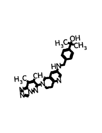 Cc1c(N2CCc3ncc(NCc4ccc(C(C)(C)O)cc4)cc3C2)nn2cnnc2c1C